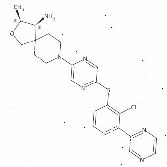 C[C@@H]1OCC2(CCN(c3cnc(Sc4cccc(-c5cnccn5)c4Cl)cn3)CC2)[C@@H]1N